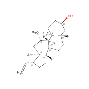 C=C[C@H]1CC[C@H]2[C@@H]3CC[C@H]4C[C@H](O)CC[C@]4(C)[C@H]3[C@@H](OC)C[C@]12C(C)=O